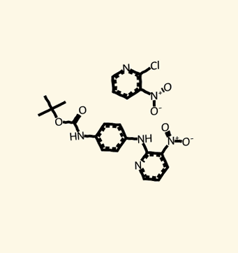 CC(C)(C)OC(=O)Nc1ccc(Nc2ncccc2[N+](=O)[O-])cc1.O=[N+]([O-])c1cccnc1Cl